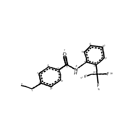 CCc1ccc(C(=O)Nc2ccccc2C(F)(F)F)cc1